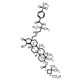 CC(C)C1=C2[C@H]3CC[C@@H]4[C@@]5(C)CC[C@H](OC(=O)[C@H]6C[C@@H](C(=O)O)C6(C)C)C(C)(C)[C@@H]5CC[C@@]4(C)[C@]3(C)CC[C@@]2(CCNCC(C)(C)NC(=O)c2ccc(S(C)(=O)=O)cc2)CC1=O